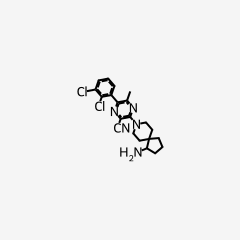 Cc1nc(N2CCC3(CCCC3N)CC2)c(C#N)nc1-c1cccc(Cl)c1Cl